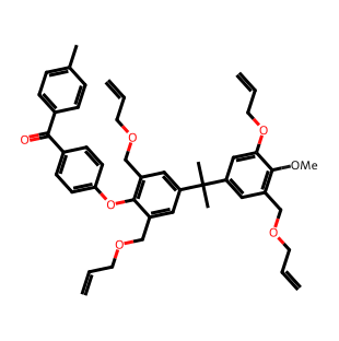 C=CCOCc1cc(C(C)(C)c2cc(COCC=C)c(OC)c(OCC=C)c2)cc(COCC=C)c1Oc1ccc(C(=O)c2ccc(C)cc2)cc1